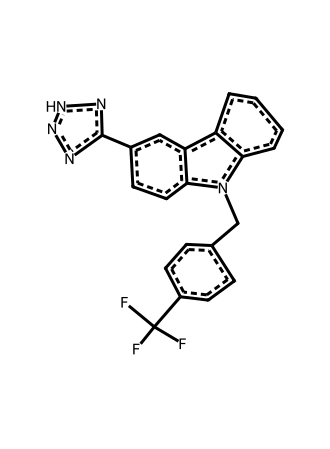 FC(F)(F)c1ccc(Cn2c3ccccc3c3cc(-c4nn[nH]n4)ccc32)cc1